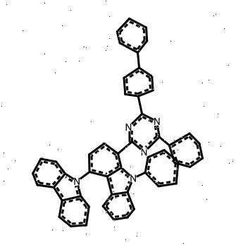 c1ccc(-c2ccc(-c3nc(-c4ccccc4)nc(-c4ccc(-n5c6ccccc6c6ccccc65)c5c6ccccc6n(-c6ccccc6)c45)n3)cc2)cc1